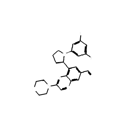 O=Cc1cc(C2CCCN2c2cc(F)cc(F)c2)c2nc(N3CCOCC3)cnc2c1